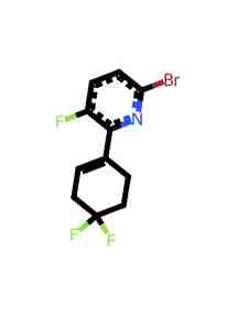 Fc1ccc(Br)nc1C1=CCC(F)(F)CC1